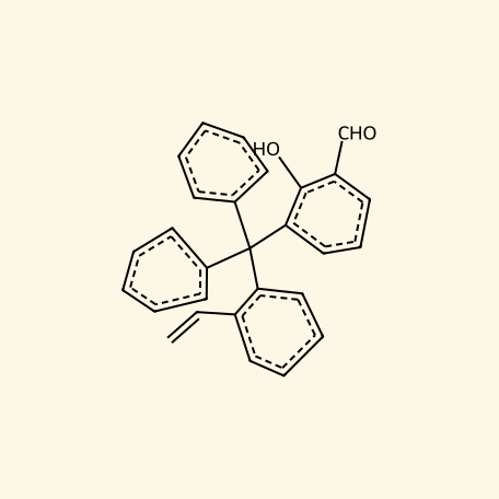 C=Cc1ccccc1C(c1ccccc1)(c1ccccc1)c1cccc(C=O)c1O